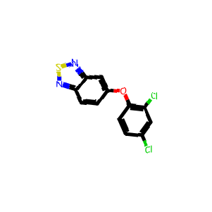 Clc1ccc(Oc2ccc3nsnc3c2)c(Cl)c1